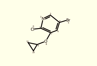 Clc1ncc(Br)cc1OC1CC1